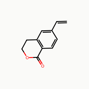 C=Cc1ccc2c(c1)CCOC2=O